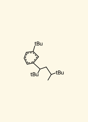 CC(CC(c1cccc(C(C)(C)C)c1)C(C)(C)C)C(C)(C)C